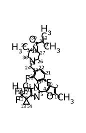 Cc1ccc(-c2nc(C3(C(F)(F)F)CC3)c(C)n2-c2c(F)ccc(CN3CCN(C(=O)C(C)C)[C@H](C)C3)c2F)o1